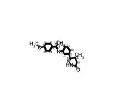 COc1ccc(/C(C)=N/c2cc(C3=NNC(=O)CC3C)ccc2C)cc1